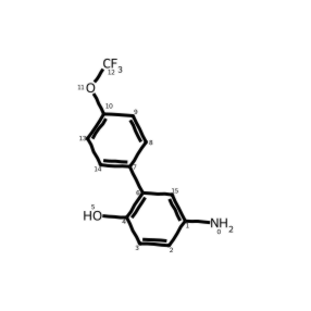 Nc1ccc(O)c(-c2ccc(OC(F)(F)F)cc2)c1